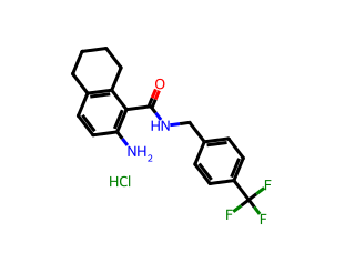 Cl.Nc1ccc2c(c1C(=O)NCc1ccc(C(F)(F)F)cc1)CCCC2